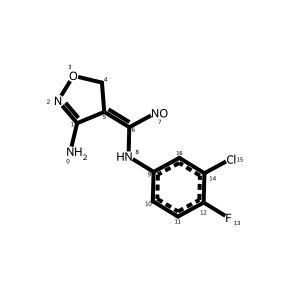 NC1=NOC/C1=C(\N=O)Nc1ccc(F)c(Cl)c1